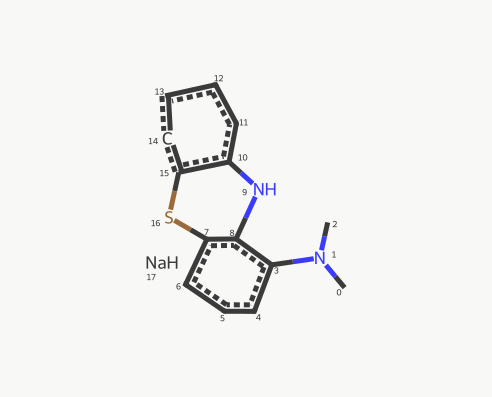 CN(C)c1cccc2c1Nc1ccccc1S2.[NaH]